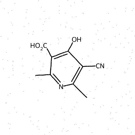 Cc1nc(C)c(C(=O)O)c(O)c1C#N